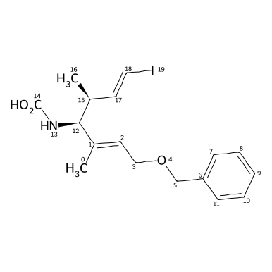 C/C(=C\COCc1ccccc1)[C@@H](NC(=O)O)[C@@H](C)/C=C/I